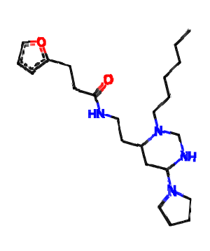 CCCCCCN1CNC(N2CCCC2)CC1CCNC(=O)CCc1ccco1